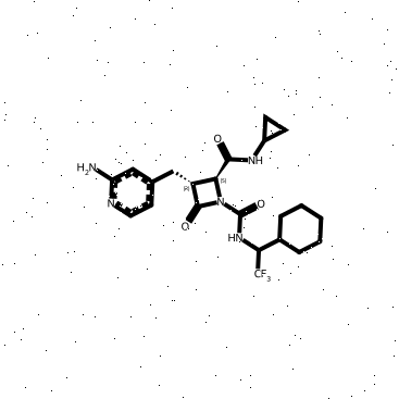 Nc1cc(C[C@H]2C(=O)N(C(=O)NC(C3CCCCC3)C(F)(F)F)[C@@H]2C(=O)NC2CC2)ccn1